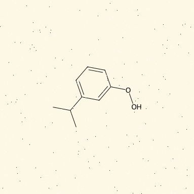 CC(C)c1cccc(OO)c1